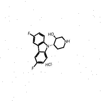 Cl.O[C@H]1CNCC[C@@H]1n1c2ccc(F)cc2c2cc(F)ccc21